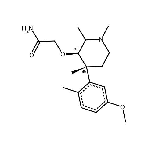 COc1ccc(C)c([C@@]2(C)CCN(C)C(C)[C@@H]2OCC(N)=O)c1